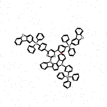 c1ccc([Si](c2ccccc2)(c2ccccc2)c2cccc(-n3c4ccccc4c4c3ccc3c5ccccc5n(-c5nc(-c6ccc([Si](c7ccccc7)(c7ccccc7)c7ccc8oc9ccccc9c8c7)cc6)cc(-c6ccc([Si](c7ccccc7)(c7ccccc7)c7ccc8oc9ccccc9c8c7)cc6)n5)c34)c2)cc1